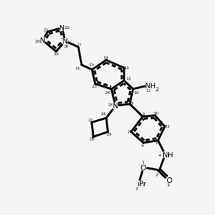 CC(C)OC(=O)Nc1ccc(-c2c(N)c3ccc(CCn4cncn4)cc3n2C2CCC2)cc1